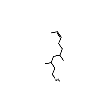 C/C=C\CCC(C)CC(C)CCN